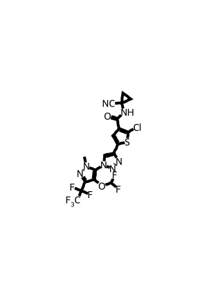 Cn1nc(C(F)(F)C(F)(F)F)c(OC(F)F)c1-n1cc(-c2cc(C(=O)NC3(C#N)CC3)c(Cl)s2)nn1